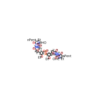 CCCCC[C@@H](C(=O)NCNC(=O)c1ccc(-c2cc(OCC)cc(O[PH](=O)Oc3cc(OCC)cc(-c4ccc(C(=O)NCNC(=O)[C@H](CCCCC)[C@@H](CC)N(C=O)OC(=O)NC(C)C)o4)c3)c2)o1)[C@@H](CC)N(C=O)OC(=O)NC(C)C